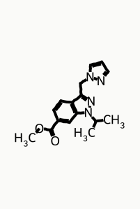 COC(=O)c1ccc2c(Cn3cccn3)nn(C(C)C)c2c1